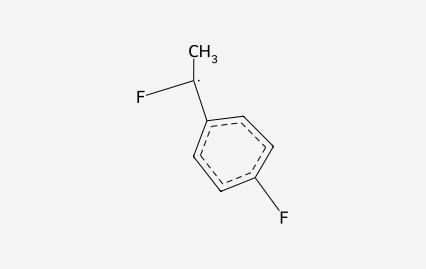 C[C](F)c1ccc(F)cc1